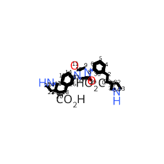 O=C(O)[C@@H](Cc1cccc(N2CC(=O)N(c3cccc(C[C@H](C(=O)O)[C@H]4CCNC4)c3)CC2=O)c1)[C@H]1CCNC1